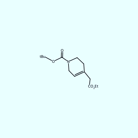 CCOC(=O)CC1=CCN(C(=O)OC(C)(C)C)CC1